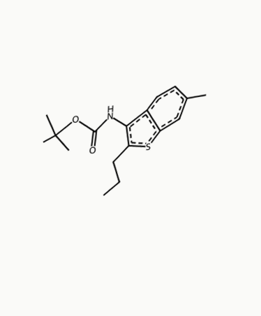 CCCc1sc2cc(C)ccc2c1NC(=O)OC(C)(C)C